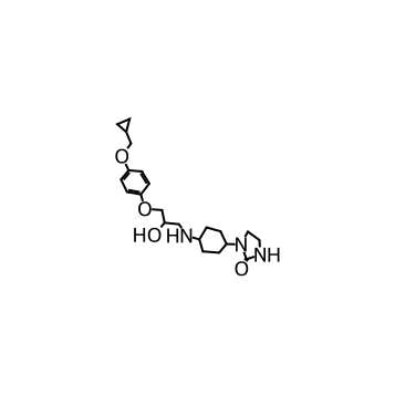 O=C1NCCN1C1CCC(NCC(O)COc2ccc(OCC3CC3)cc2)CC1